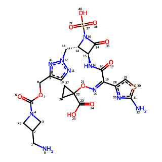 NCC1CN(C(=O)OCc2cnn(C[C@H]3[C@H](NC(=O)C(=NOC4(C(=O)O)CC4)c4csc(N)n4)C(=O)N3S(=O)(=O)O)n2)C1